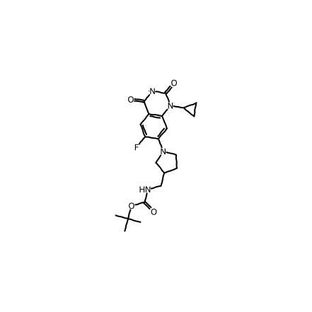 CC(C)(C)OC(=O)NCC1CCN(c2cc3c(cc2F)C(=O)[N]C(=O)N3C2CC2)C1